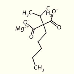 CCCCCC(C(=O)[O-])(C(=O)[O-])C(C)C.[Mg+2]